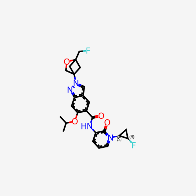 CC(C)Oc1cc2nn(C34COC(CF)(C3)C4)cc2cc1C(=O)Nc1cccn([C@H]2C[C@H]2F)c1=O